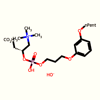 CCCCCOc1cccc(OCCCOP(=O)(O)O[C@H](CC(=O)O)C[N+](C)(C)C)c1.[OH-]